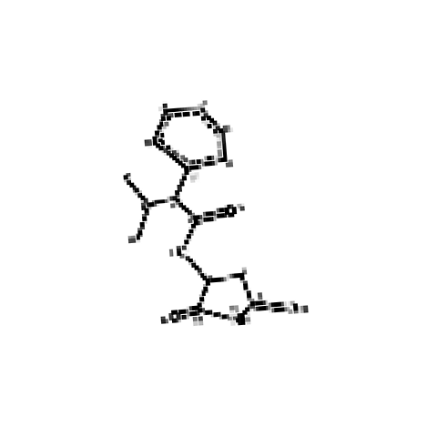 CC(C)C(C(=O)OC1CC(=O)NC1=O)c1ccccc1